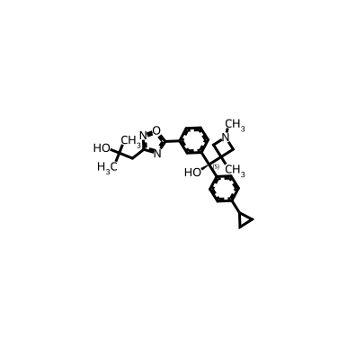 CN1CC(C)([C@](O)(c2ccc(C3CC3)cc2)c2cccc(-c3nc(CC(C)(C)O)no3)c2)C1